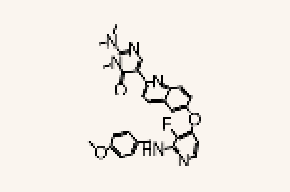 COc1ccc(CNc2nccc(Oc3ccc4nc(-c5cnc(N(C)C)n(C)c5=O)ccc4c3)c2F)cc1